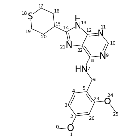 COc1ccc(CNc2ncnc3[nH]c(C4CCSCC4)nc23)c(OC)c1